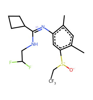 Cc1cc(C)c([S+]([O-])CC(F)(F)F)cc1/N=C(\NCC(F)F)C1CCC1